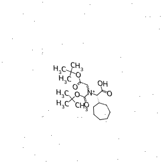 CC(C)(C)OC(=O)C=[N+](C(=O)OC(C)(C)C)[C@H](C(=O)O)C1CCCCCC1